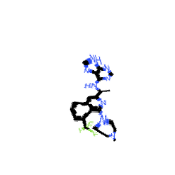 C[C@H](Nc1ncnc2[nH]cnc12)c1cc2cccc(C(F)(F)F)c2c(N2CCN(C)CC2)n1